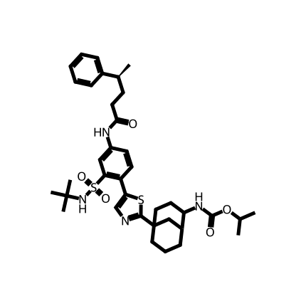 CC(C)OC(=O)NC1CCC2(c3ncc(-c4ccc(NC(=O)CC[C@H](C)c5ccccc5)cc4S(=O)(=O)NC(C)(C)C)s3)CCCC1C2